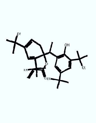 C=CC(=O)OC1(C(C)c2cc(C(C)(C)CC)cc(C(C)(C)CC)c2O)CC=C(C(C)(C)CC)C=C1C(C)(C)CC